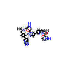 N#C[C@H](Cc1ccc(-c2ccc3nnnn3c2)cc1)NCC1CNCCC(c2nnc3ccc(-c4ccc(C[C@@H](C#N)NC(=O)[C@@H]5CNCCCO5)cc4)cn23)O1